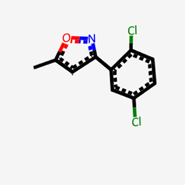 Cc1[c]c(-c2cc(Cl)ccc2Cl)no1